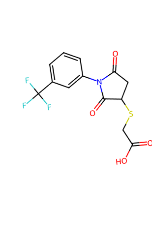 O=C(O)CSC1CC(=O)N(c2cccc(C(F)(F)F)c2)C1=O